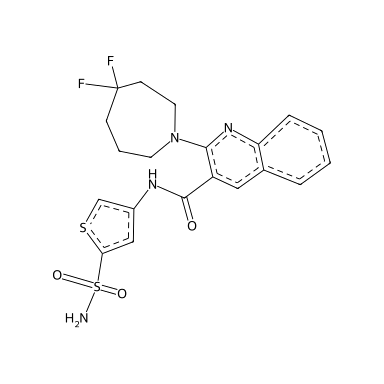 NS(=O)(=O)c1cc(NC(=O)c2cc3ccccc3nc2N2CCCC(F)(F)CC2)cs1